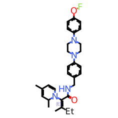 CC/C(C)=C(\C(=O)NCc1ccc(N2CCN(c3ccc(OF)cc3)CC2)cc1)N1C=CC(C)=CC1C